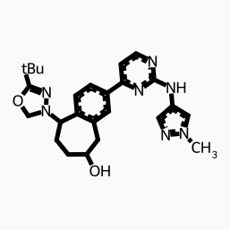 Cn1cc(Nc2nccc(-c3ccc4c(c3)CC(O)CCC4N3COC(C(C)(C)C)=N3)n2)cn1